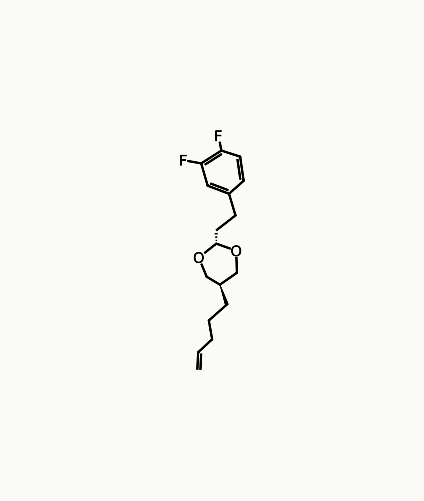 C=CCCC[C@H]1CO[C@H](CCc2ccc(F)c(F)c2)OC1